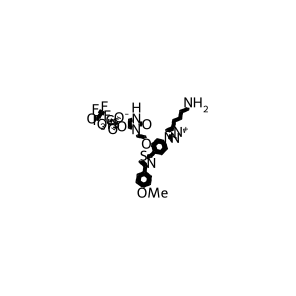 COc1ccc(-c2csc(-c3ccc(-n4cc(CCCCN)[n+](C)n4)cc3OCCN3CCNC3=O)n2)cc1.O=C(O)C(F)(F)F.O=S(=O)([O-])C(F)(F)F